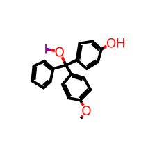 COc1ccc(C(OI)(c2ccccc2)c2ccc(O)cc2)cc1